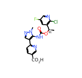 C[C@@H](OC(=O)Nc1c(-c2ccc(C(=O)O)cn2)cnn1C)c1cc(F)cnc1Cl